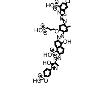 Cc1cc(N=Nc2ccc3c(S(=O)(=O)O)c(N=Nc4cnn(-c5ccc(S(=O)(=O)O)cc5)c4O)ccc3c2O)c(OCCCS(=O)(=O)O)cc1N=Nc1nc2c(S(=O)(=O)O)cc(Cl)cc2s1